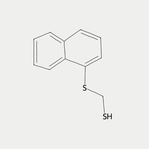 SCSc1cccc2ccccc12